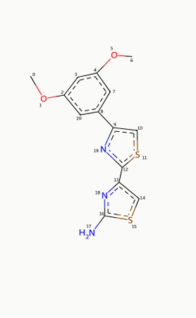 COc1cc(OC)cc(-c2csc(-c3csc(N)n3)n2)c1